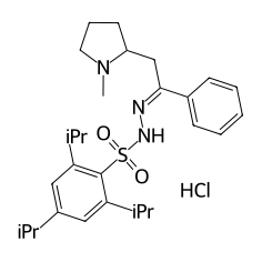 CC(C)c1cc(C(C)C)c(S(=O)(=O)NN=C(CC2CCCN2C)c2ccccc2)c(C(C)C)c1.Cl